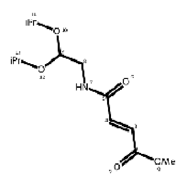 COC(=O)C=CC(=O)NCC(OC(C)C)OC(C)C